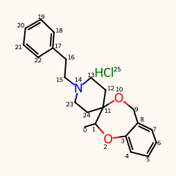 CC1Oc2ccccc2COC12CCN(CCc1ccccc1)CC2.Cl